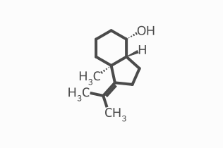 CC(C)=C1CC[C@H]2[C@@H](O)CCC[C@]12C